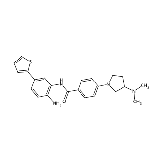 CN(C)C1CCN(c2ccc(C(=O)Nc3cc(-c4cccs4)ccc3N)cc2)C1